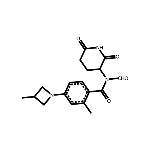 Cc1cc(N2CC(C)C2)ccc1C(=O)N(C=O)C1CCC(=O)NC1=O